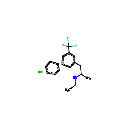 CCNC(C)Cc1cccc(C(F)(F)F)c1.Cl.c1ccccc1